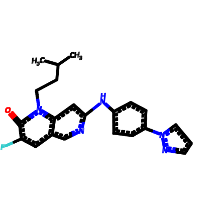 CC(C)CCn1c(=O)c(F)cc2cnc(Nc3ccc(-n4cccn4)cc3)cc21